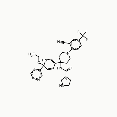 CCOC1(c2cccnc2)C=CC(C2(NC(=O)[C@@H]3CCNC3)CCN(c3ccc(C(F)(F)F)cc3C#N)CC2)=CN1